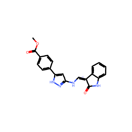 COC(=O)c1ccc(-c2cc(N/C=C3\C(=O)Nc4ccccc43)n[nH]2)cc1